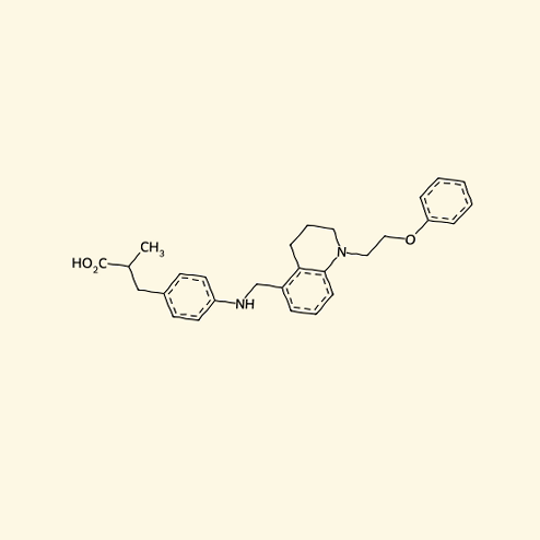 CC(Cc1ccc(NCc2cccc3c2CCCN3CCOc2ccccc2)cc1)C(=O)O